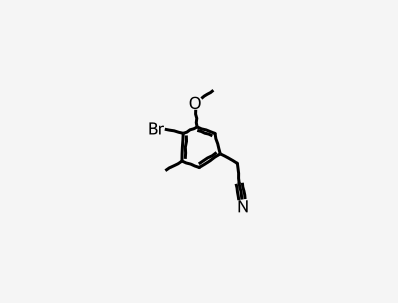 COc1cc(CC#N)cc(C)c1Br